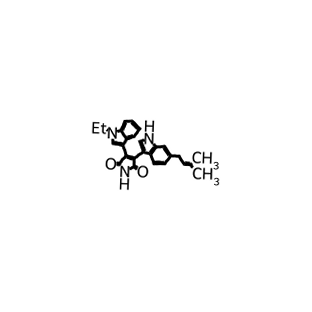 CCn1cc(C2=C(c3c[nH]c4cc(CC=C(C)C)ccc34)C(=O)NC2=O)c2ccccc21